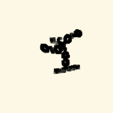 COC(OC)C1CCN(c2ccc(Cn3c(-c4ccc(OCc5ccccc5)cc4)c(C)c4cc(OCc5ccccc5)ccc43)cc2)CC1